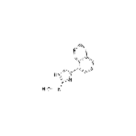 CNc1nc(-c2cccc3ccccc23)c[nH]1